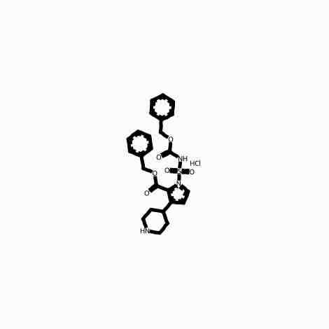 Cl.O=C(NS(=O)(=O)n1ccc(C2CCNCC2)c1C(=O)OCc1ccccc1)OCc1ccccc1